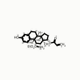 C=CC(=O)O[C@H]1CC[C@H]2[C@@H]3CCc4cc(O)ccc4[C@H]3CC[C@]12C.CCOC(N)=O